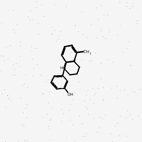 CC1=CC=CC23CCNCC2(c2cccc(O)c2)CCCC13